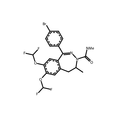 CNC(=O)N1N=C(c2ccc(Br)cc2)c2cc(OC(F)F)c(OC(F)F)cc2CC1C